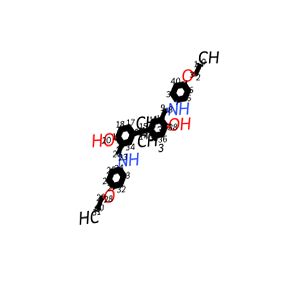 C#CCOc1ccc(NCc2cc(C(C)(C)c3ccc(O)c(CNc4ccc(OCC#C)cc4)c3)ccc2O)cc1